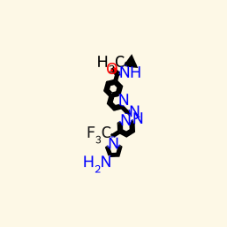 CC1(NC(=O)c2ccc3ccc(-c4nnc5ccc([C@@H](N6CCC(N)C6)C(F)(F)F)cn45)nc3c2)CC1